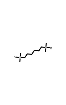 C[Si](C)(Br)CCCCCC[Si](C)(C)Br